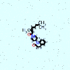 CC(C)=CCC/C(C)=C/C(=O)N1CCC(N2C(=O)CCc3ccccc32)CC1